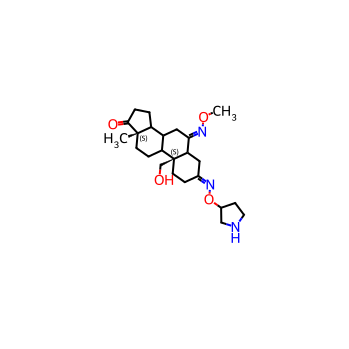 CON=C1CC2C(CC[C@]3(C)C(=O)CCC23)[C@@]2(CO)CCC(=NOC3CCNC3)CC12